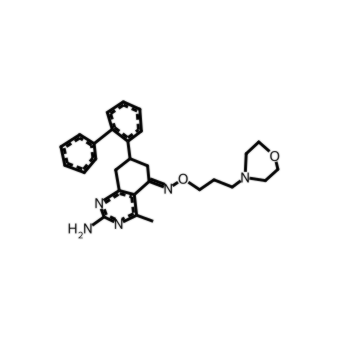 Cc1nc(N)nc2c1C(=NOCCCN1CCOCC1)CC(c1ccccc1-c1ccccc1)C2